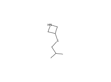 CC(C)CSC1CNC1